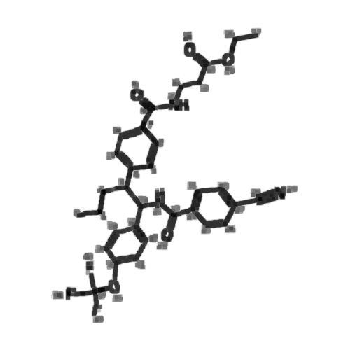 CCCC(c1ccc(C(=O)NCCC(=O)OCC)cc1)C(NC(=O)c1ccc(C#N)cc1)c1ccc(OC(F)(F)F)cc1